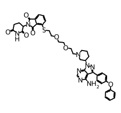 Nc1ncnc2c1c(-c1ccc(Oc3ccccc3)cc1)nn2[C@@H]1CCCN(CCOCCOCCSc2cccc3c2C(=O)N(C2CCC(=O)NC2=O)C3=O)C1